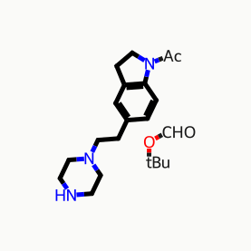 CC(=O)N1CCc2cc(CCN3CCNCC3)ccc21.CC(C)(C)OC=O